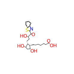 O=C(O)CCCCCC[C@@H]1[C@@H](CCC(O)C(=O)c2nc3ccccc3s2)[C@H](O)C[C@@H]1O